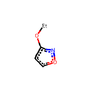 CCOc1ccon1